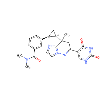 CN(C)C(=O)c1cccc([C@H]2C[C@@H]2C2(C)CC(c3c[nH]c(=O)[nH]c3=O)=Nn3ccnc32)c1